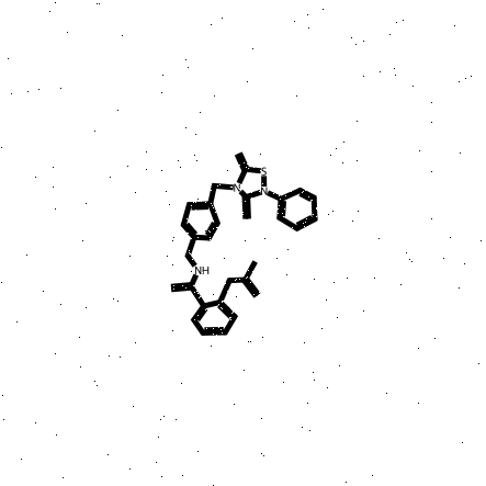 C=C(C)Cc1ccccc1C(=C)NCc1ccc(CN2C(=C)SN(c3ccccc3)C2=C)cc1